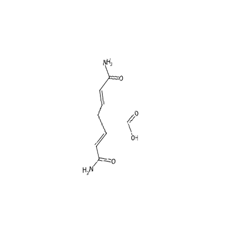 NC(=O)C=CCC=CC(N)=O.O=CO